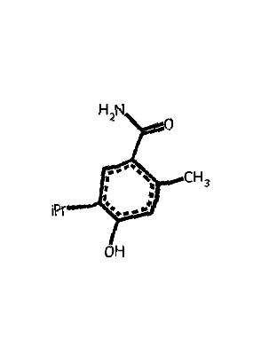 Cc1cc(O)c(C(C)C)cc1C(N)=O